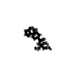 CCC(C)(C)OC(=O)N1CCC(O)(c2nccn2C)CC1